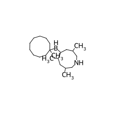 CC1CNCC(C)CC(BC2(C)CCCCCCCCC2)C(C)C1